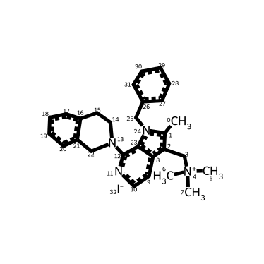 Cc1c(C[N+](C)(C)C)c2ccnc(N3CCc4ccccc4C3)c2n1Cc1ccccc1.[I-]